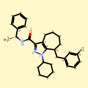 C[C@@H](NC(=O)c1nn(C2CCCCC2)c2c1CCCCC2Cc1cccc(Cl)c1)c1ccccc1